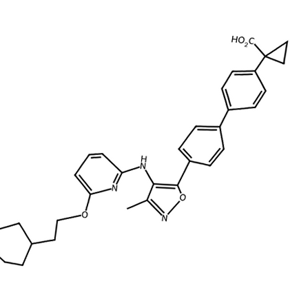 Cc1noc(-c2ccc(-c3ccc(C4(C(=O)O)CC4)cc3)cc2)c1Nc1cccc(OCCC2CCCCC2)n1